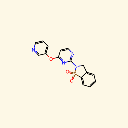 O=S1(=O)c2ccccc2CN1c1nccc(Oc2cccnc2)n1